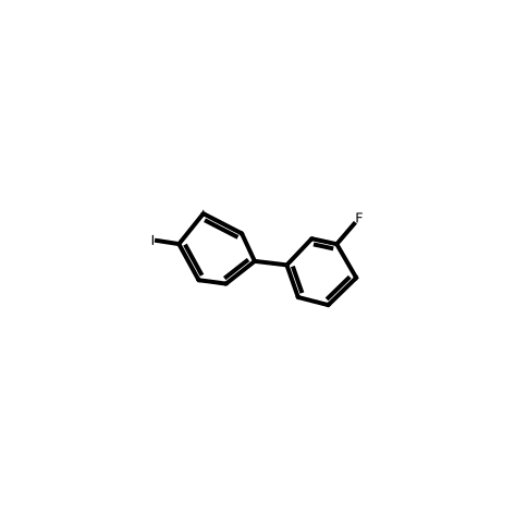 Fc1cccc(-c2c[c]c(I)cc2)c1